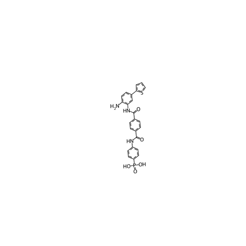 Nc1ccc(-c2cccs2)cc1NC(=O)c1ccc(C(=O)Nc2ccc(P(=O)(O)O)cc2)cc1